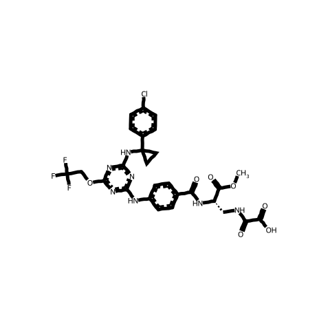 COC(=O)[C@H](CNC(=O)C(=O)O)NC(=O)c1ccc(Nc2nc(NC3(c4ccc(Cl)cc4)CC3)nc(OCC(F)(F)F)n2)cc1